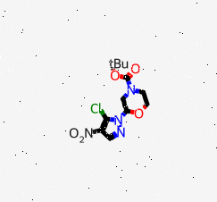 CC(C)(C)OC(=O)N1CCOC(n2ncc([N+](=O)[O-])c2Cl)C1